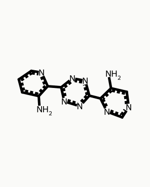 Nc1cccnc1-c1nnc(-c2ncncc2N)nn1